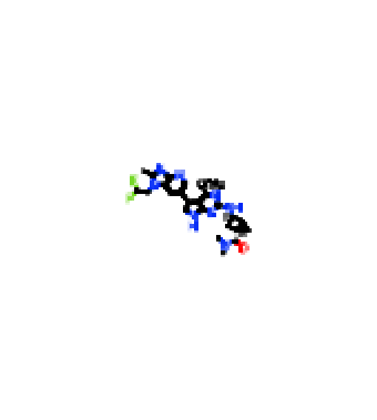 COc1nc(N[C@H]2C[C@]3(C(=O)N(C)C)CC23)nc2[nH]cc(-c3cnc4nc(C)n(CC(F)F)c4c3)c12